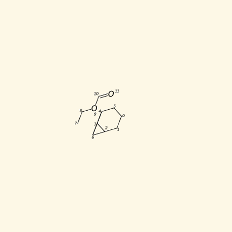 C1CC2C3C(C1)C23.CCOC=O